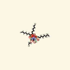 CCCCCCCCS(=O)(=O)N(F)C(C(=O)OCCC)(N(F)S(=O)(=O)CCCCCCCC)N(F)S(=O)(=O)CCCCCCCC